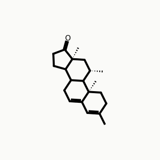 CC1=CC2=CCC3C([C@@H](C)C[C@]4(C)C(=O)CCC34)[C@@]2(C)CC1